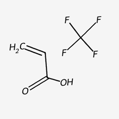 C=CC(=O)O.FC(F)(F)F